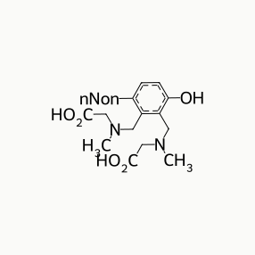 CCCCCCCCCc1ccc(O)c(CN(C)CC(=O)O)c1CN(C)CC(=O)O